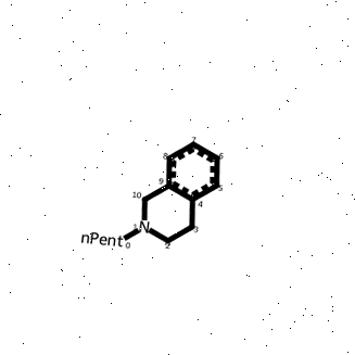 CCCCCN1[C]Cc2ccccc2C1